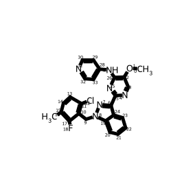 COc1cnc(-c2nn(Cc3c(Cl)ccc(C)c3F)c3ccccc23)nc1Nc1ccncc1